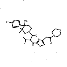 CC(C)C(Nc1nc(CC(=O)N2CCOCC2)cs1)C(=O)N1CCC(O)(c2ccc(Cl)cc2)C(C)(C)C1